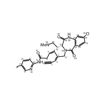 C#C/C=C(\C=C/CC(=O)Nc1ccc(C)cn1)CN1C(=O)c2ccc(Cl)cc2NC(=O)[C@H]1CCNC